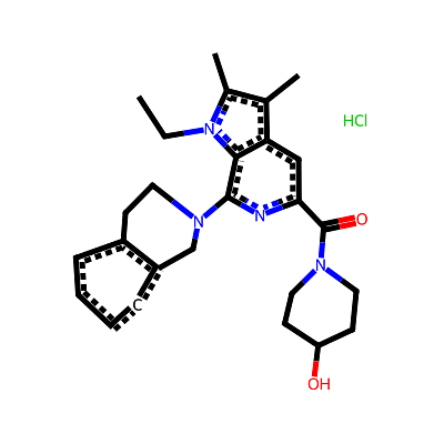 CCn1c(C)c(C)c2cc(C(=O)N3CCC(O)CC3)nc(N3CCc4ccccc4C3)c21.Cl